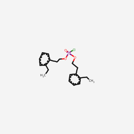 CCc1ccccc1CCOP(=O)(Cl)OCCc1ccccc1CC